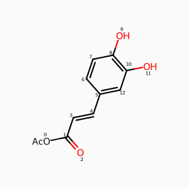 CC(=O)OC(=O)C=Cc1ccc(O)c(O)c1